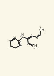 C=C/C(=C\C=C/C)PC1=CCCC=C1